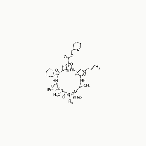 C=CCOC[C@@H]1NC(=O)[C@H](CNC(=O)OCc2ccccc2)NC(=O)[C@H](C2CCCCC2)NC(=O)[C@H](CC(C)C)N(C)C(=O)[C@H](C)[C@@H](CCCCCC)OC[C@@H](C)NC1=O